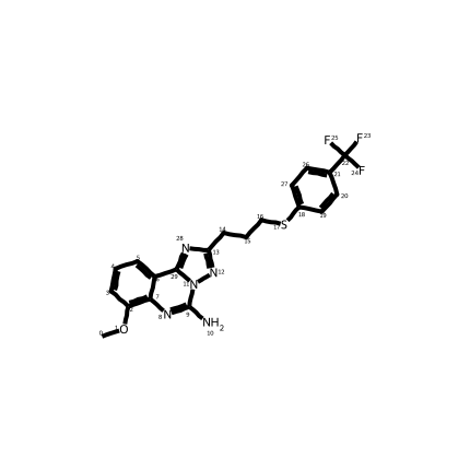 COc1cccc2c1nc(N)n1nc(CCCSc3ccc(C(F)(F)F)cc3)nc21